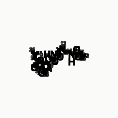 COC1C(OC(=O)NC(=O)CN(C)CCNC(=O)OC(C)(C)C)CC[C@]2(CO2)C1[C@@]1(C)O[C@@H]1CC=C(C)C